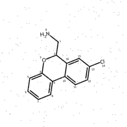 NCC1Oc2ccccc2-c2ccc(Cl)cc21